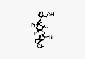 CC(C)C1(CCc2ccsc2CO)CC(O)=C(Sc2cc3c(cc2C(C)(C)C)C(O)CC3)C(=O)O1